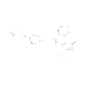 C=C1N=C(NCC)N=C1c1ccccc1C(=O)CCc1ccc(N2CCN(C)CC2)cc1C